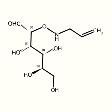 C=CCNO[C@@H](C=O)[C@@H](O)[C@H](O)[C@H](O)CO